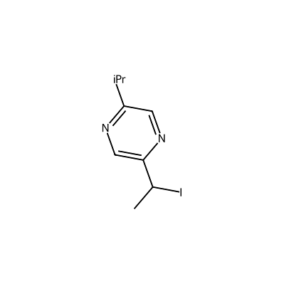 CC(C)c1cnc(C(C)I)cn1